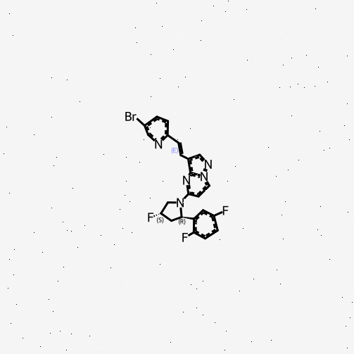 Fc1ccc(F)c([C@H]2C[C@H](F)CN2c2ccn3ncc(/C=C/c4ccc(Br)cn4)c3n2)c1